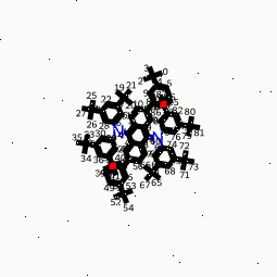 CC(C)(C)c1cccc(-c2ccc3c(N(c4cc(C(C)(C)C)cc(C(C)(C)C)c4)c4cc(C(C)(C)C)cc(C(C)(C)C)c4)c4cc(-c5cccc(C(C)(C)C)c5)ccc4c(N(c4cc(C(C)(C)C)cc(C(C)(C)C)c4)c4cc(C(C)(C)C)cc(C(C)(C)C)c4)c3c2)c1